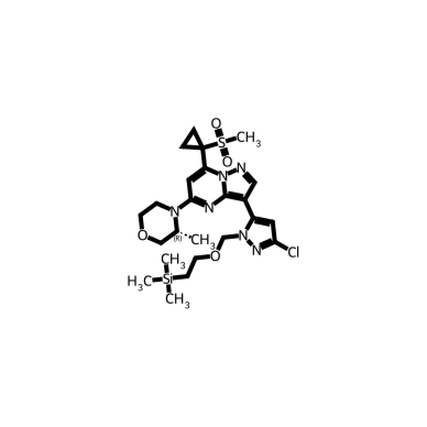 C[C@@H]1COCCN1c1cc(C2(S(C)(=O)=O)CC2)n2ncc(-c3cc(Cl)nn3COCC[Si](C)(C)C)c2n1